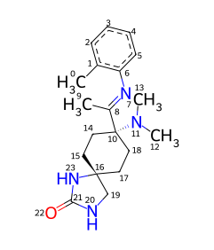 Cc1ccccc1/N=C(\C)[C@]1(N(C)C)CC[C@@]2(CC1)CNC(=O)N2